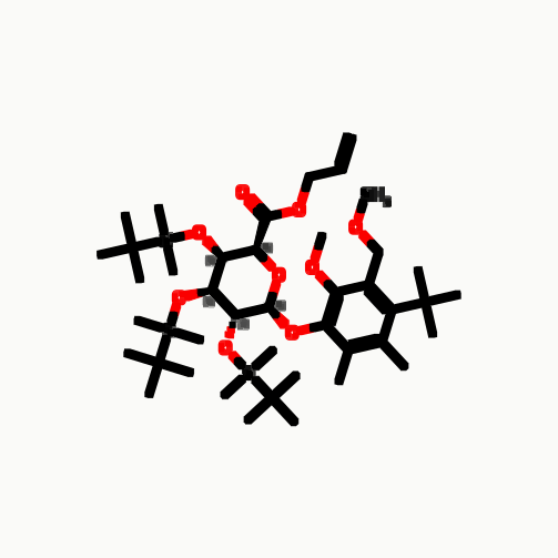 C=CCOC(=O)[C@H]1O[C@@H](Oc2c(C)c(C)c(C(C)(C)C)c(CO[SiH3])c2OC)[C@H](O[Si](C)(C)C(C)(C)C)[C@@H](O[Si](C)(C)C(C)(C)C)[C@H]1O[Si](C)(C)C(C)(C)C